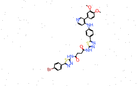 COc1ccc(-c2cnccc2Nc2ccc(-c3nnc(NC(=O)CCC(=O)Nc4nnc(-c5ccc(Br)cc5)s4)s3)cc2)cc1OC